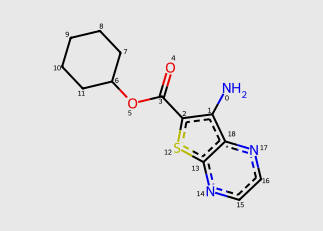 Nc1c(C(=O)OC2CCCCC2)sc2nccnc12